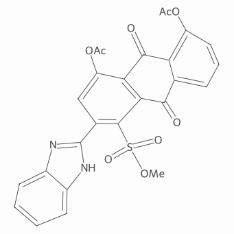 COS(=O)(=O)c1c(-c2nc3ccccc3[nH]2)cc(OC(C)=O)c2c1C(=O)c1cccc(OC(C)=O)c1C2=O